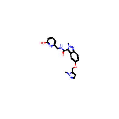 Cn1nccc1COc1ccc2nn(C)c(C(=O)NCc3cccc(O)n3)c2c1